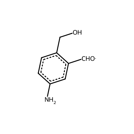 Nc1ccc(CO)c([C]=O)c1